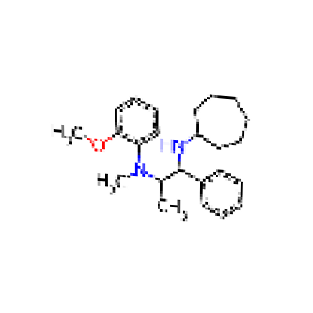 COc1ccccc1N(C)C(C)C(NC1CCCCCC1)c1ccccc1